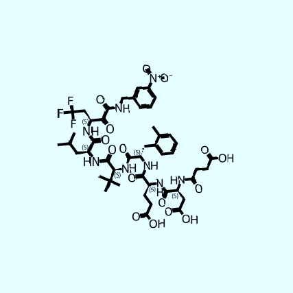 Cc1ccccc1C[C@H](NC(=O)[C@H](CCC(=O)O)NC(=O)[C@H](CC(=O)O)NC(=O)CCC(=O)O)C(=O)N[C@H](C(=O)N[C@@H](CC(C)C)C(=O)N[C@@H](CC(F)(F)F)C(=O)C(=O)NCc1cccc([N+](=O)[O-])c1)C(C)(C)C